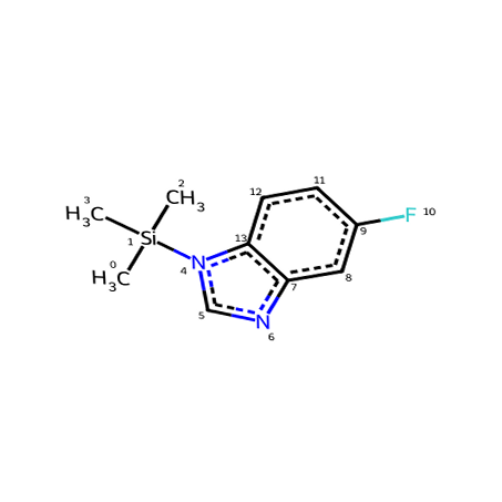 C[Si](C)(C)n1cnc2cc(F)ccc21